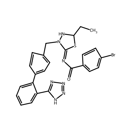 CCC1NN(Cc2ccc(-c3ccccc3-c3nnn[nH]3)cc2)C(=NC(=O)c2ccc(Br)cc2)S1